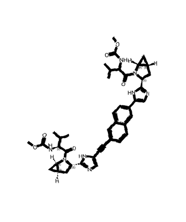 COC(=O)NC(C(=O)N1[C@@H]2C[C@@H]2C[C@H]1c1ncc(-c2ccc3cc(C#Cc4cnc([C@@H]5C[C@H]6C[C@H]6N5C(=O)[C@@H](NC(=O)OC)C(C)C)[nH]4)ccc3c2)[nH]1)C(C)C